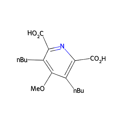 CCCCc1c(C(=O)O)nc(C(=O)O)c(CCCC)c1OC